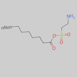 CCCCCCCCCCCCCCCC(=O)OS(=O)(=O)CCN